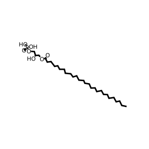 CCCCCCCCCCCCCCCCCCCCCCCCCCC(=O)OCC(O)COP(=O)(O)O